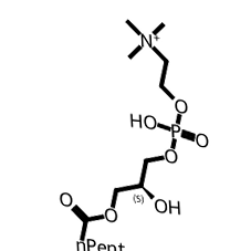 CCCCCC(=O)OC[C@H](O)COP(=O)(O)OCC[N+](C)(C)C